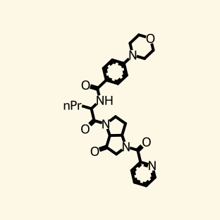 CCCC(NC(=O)c1ccc(N2CCOCC2)cc1)C(=O)N1CCC2C1C(=O)CN2C(=O)c1ccccn1